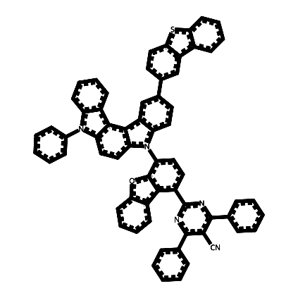 N#Cc1c(-c2ccccc2)nc(-c2ccc(-n3c4ccc(-c5ccc6sc7ccccc7c6c5)cc4c4c5c6ccccc6n(-c6ccccc6)c5ccc43)c3oc4ccccc4c23)nc1-c1ccccc1